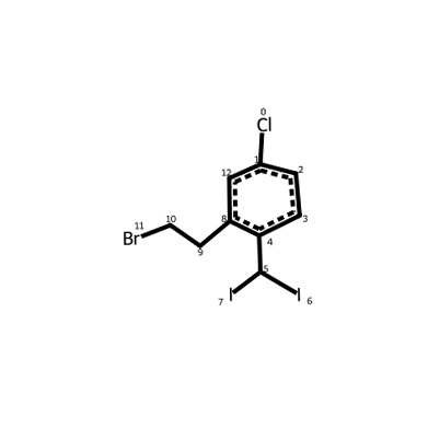 Clc1ccc(C(I)I)c(CCBr)c1